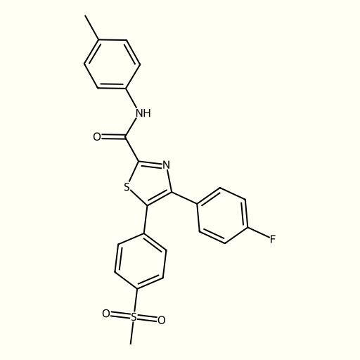 Cc1ccc(NC(=O)c2nc(-c3ccc(F)cc3)c(-c3ccc(S(C)(=O)=O)cc3)s2)cc1